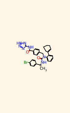 C[C@@H](NC(=O)N(Cc1ccc(C(=O)Nc2nn[nH]n2)cc1)c1ccccc1C1=CCCCC1)c1ccc(Br)cc1